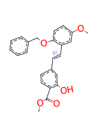 COC(=O)c1ccc(/C=C/c2cc(OC)ccc2OCc2ccccc2)cc1O